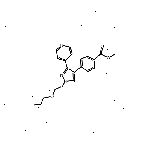 CCCOCCn1cc(-c2ccc(C(=O)OC)cc2)c(-c2ccncc2)n1